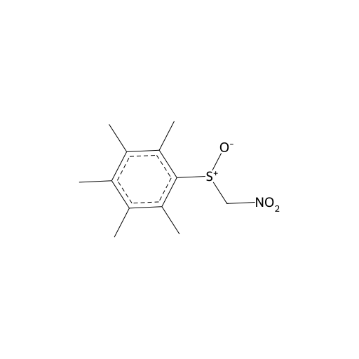 Cc1c(C)c(C)c([S+]([O-])C[N+](=O)[O-])c(C)c1C